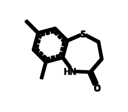 Cc1cc(C)c2c(c1)SCCC(=O)N2